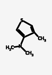 Cc1cscc1N(C)C